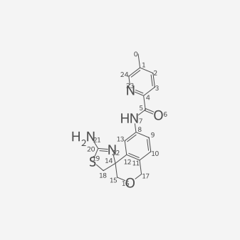 Cc1ccc(C(=O)Nc2ccc3c(c2)C2(COC3)CSC(N)=N2)nc1